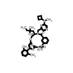 CCC(C)(C)CC1COc2cc(-c3c(C)cccc3C)nc(n2)NS(=O)(=O)c2cccc(c2)C(=O)N1Cc1cncc(N(C)C2CCC2)n1